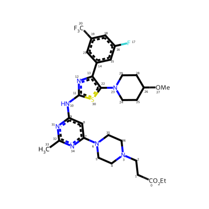 CCOC(=O)CCN1CCN(c2cc(Nc3nc(-c4cc(F)cc(C(F)(F)F)c4)c(N4CCC(OC)CC4)s3)nc(C)n2)CC1